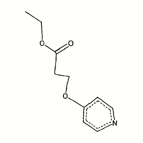 CCOC(=O)CCOc1ccncc1